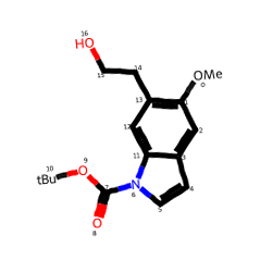 COc1cc2ccn(C(=O)OC(C)(C)C)c2cc1CCO